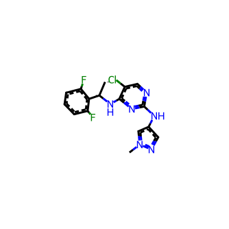 [CH2][C](Nc1nc(Nc2cnn(C)c2)ncc1Cl)c1c(F)cccc1F